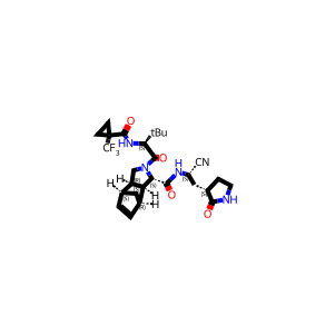 CC(C)(C)[C@H](NC(=O)C1(C(F)(F)F)CC1)C(=O)N1C[C@H]2[C@@H]([C@H]1C(=O)N[C@H](C#N)C[C@@H]1CCNC1=O)[C@H]1C=C[C@@H]2C1